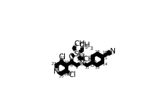 CC[Si](CC)(CC)OC(CNCc1ccc(C#N)cc1)c1c(Cl)cncc1Cl